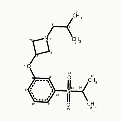 CC(C)CN1CC(Oc2cccc(S(=O)(=O)C(C)C)c2)C1